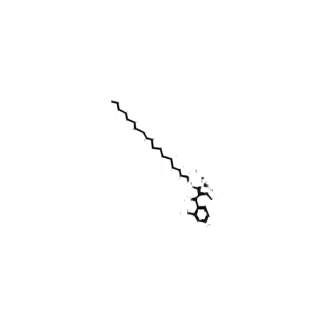 CCCCCCCCCCCCCCCCCC(=O)Oc1c(C(=O)c2ccc(Cl)cc2Cl)c(C)nn1C